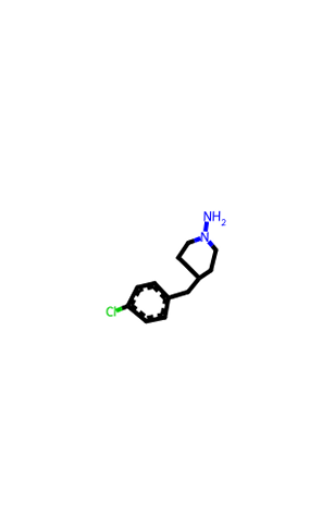 NN1CCC(Cc2ccc(Cl)cc2)CC1